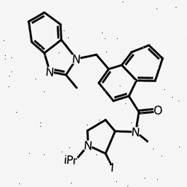 Cc1nc2ccccc2n1Cc1ccc(C(=O)N(C)C2CCN(C(C)C)C2I)c2ccccc12